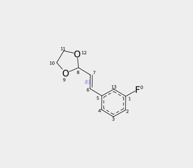 Fc1cccc(/C=C/C2OCCO2)c1